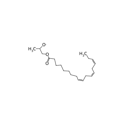 CC/C=C\C/C=C\C/C=C\CCCCCCCC(=O)OCC(C)[O]